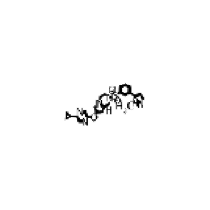 Cn1nccc1-c1cccc(S(=O)(=O)N2CCN3C[C@H](Oc4cnc(C5CC5)cn4)C[C@H]3C2)c1